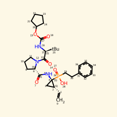 C=C[C@@H]1C[C@]1(NC(=O)[C@@H]1CCCN1C(=O)[C@@H](NC(=O)OC1CCCC1)C(C)(C)C)P(=O)(O)CCc1ccccc1